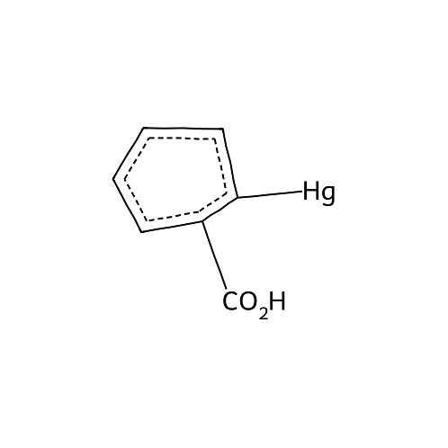 O=C(O)c1cccc[c]1[Hg]